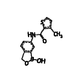 Cc1ccsc1C(=O)Nc1ccc2c(c1)B(O)OC2